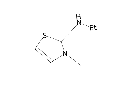 CCNC1SC=CN1C